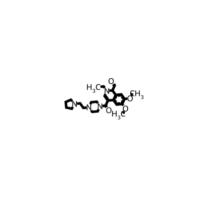 CCN1C=C(C(=O)N2CCN(CCN3CCCC3)CC2)c2cc(OC)c(OC)cc2C1C=O